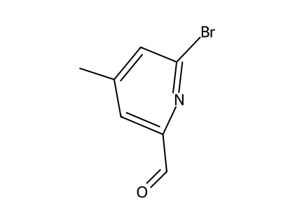 Cc1cc(Br)nc(C=O)c1